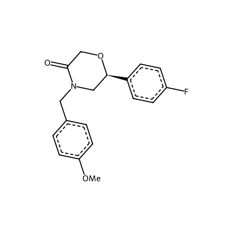 COc1ccc(CN2C[C@H](c3ccc(F)cc3)OCC2=O)cc1